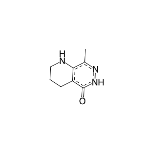 Cc1n[nH]c(=O)c2c1NCCC2